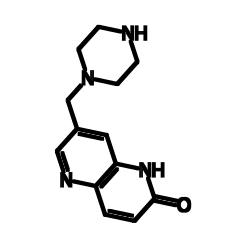 O=c1ccc2ncc(CN3CCNCC3)cc2[nH]1